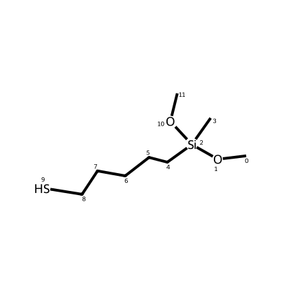 CO[Si](C)(CCCCCS)OC